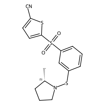 [CH2][C@H]1CCCN1Sc1cccc(S(=O)(=O)c2ccc(C#N)s2)c1